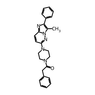 Cc1c(-c2ccccc2)nc2ccc(N3CCN(C(=O)Cc4ccccc4)CC3)nn12